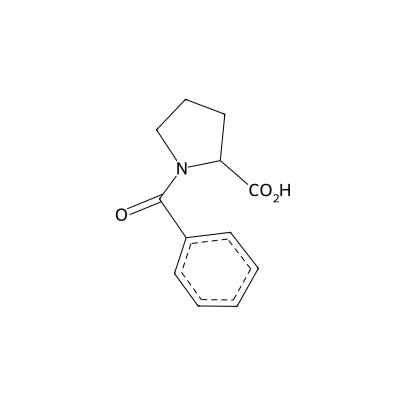 O=C(O)C1CCCN1C(=O)c1ccccc1